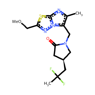 COCc1nn2c(CN3C[C@@H](CC(C)(F)F)CC3=O)c(C)nc2s1